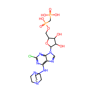 O=P(O)(O)CP(=O)(O)OCC1OC(n2cnc3c(NC4CN5CCN4CC5)nc(Cl)nc32)C(O)C1O